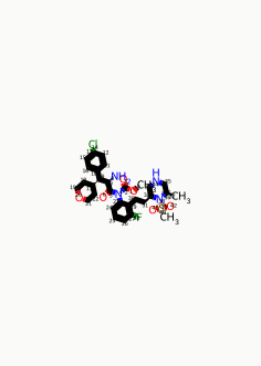 COC(=O)N(C(=O)[C@@H](N)[C@@H](c1ccc(Cl)cc1)C1CCOCC1)c1cccc(F)c1CC[C@H]1CNC[C@@H](C)N1S(C)(=O)=O